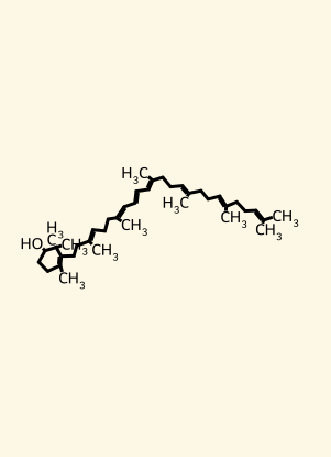 CC(C)=CCC/C(C)=C/CC/C(C)=C/CC/C(C)=C/C=C/C=C(\C)CC/C=C(\C)CCC1=C(C)CCC(O)C1(C)C